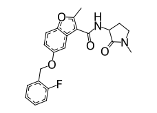 Cc1oc2ccc(OCc3ccccc3F)cc2c1C(=O)NC1CCN(C)C1=O